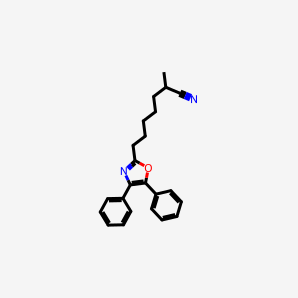 CC(C#N)CCCCCc1nc(-c2ccccc2)c(-c2ccccc2)o1